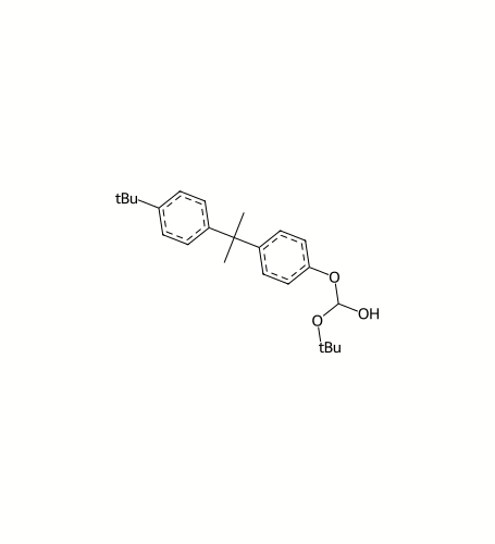 CC(C)(C)OC(O)Oc1ccc(C(C)(C)c2ccc(C(C)(C)C)cc2)cc1